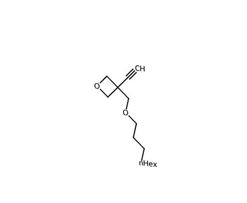 C#CC1(COCCCCCCCCC)COC1